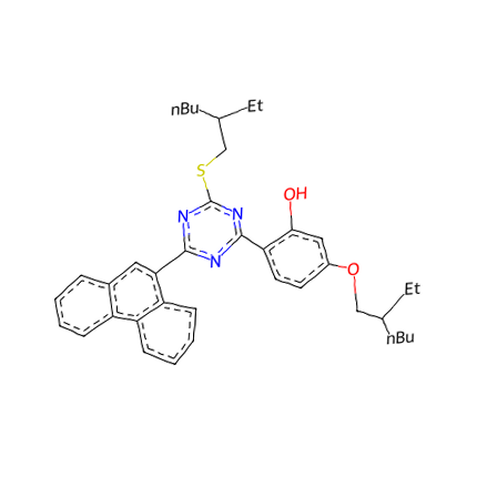 CCCCC(CC)COc1ccc(-c2nc(SCC(CC)CCCC)nc(-c3cc4ccccc4c4ccccc34)n2)c(O)c1